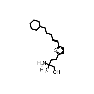 CC(N)(CO)CCc1ccc(C=CCCCC2CCCCC2)s1